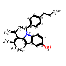 C=C(C)C(=C(C)C)c1c(C)c2cc(O)ccc2n1Cc1ccc(CCNC)cc1